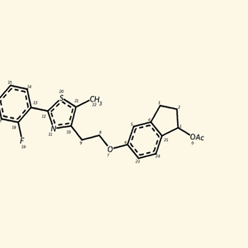 CC(=O)OC1CCc2cc(OCCc3nc(-c4ccccc4F)sc3C)ccc21